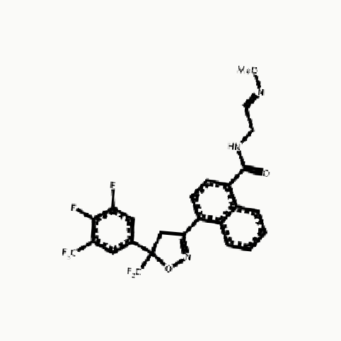 CO/N=C/CNC(=O)c1ccc(C2=NOC(c3cc(F)c(F)c(C(F)(F)F)c3)(C(F)(F)F)C2)c2ccccc12